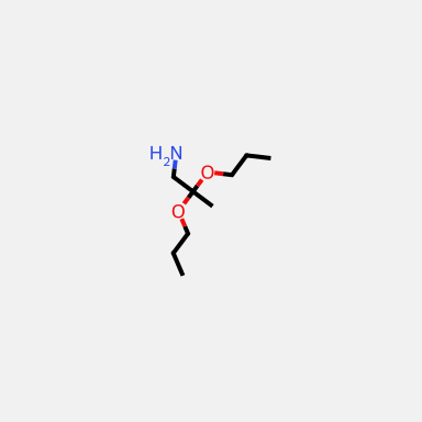 CCCOC(C)(CN)OCCC